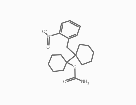 NC(=O)OC1(C2(Cc3ccccc3[N+](=O)[O-])CCCCC2)CCCCC1